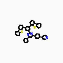 c1ccc(-c2cc(-c3ccc(-c4ccncc4)cc3)nc(-c3cc(-c4cccc5c4sc4ccccc45)cc(-c4cccc5c4sc4ccccc45)c3)n2)cc1